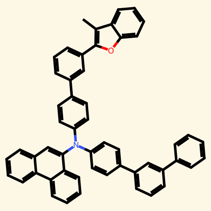 Cc1c(-c2cccc(-c3ccc(N(c4ccc(-c5cccc(-c6ccccc6)c5)cc4)c4cc5ccccc5c5ccccc45)cc3)c2)oc2ccccc12